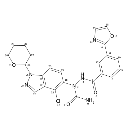 NC(=O)N(NC(=O)c1cccc(-c2ncco2)c1)c1ccc2c(cnn2C2CCCCO2)c1Cl